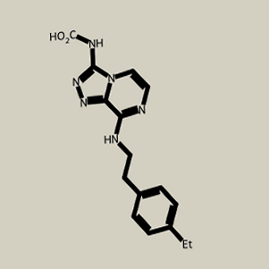 CCc1ccc(CCNc2nccn3c(NC(=O)O)nnc23)cc1